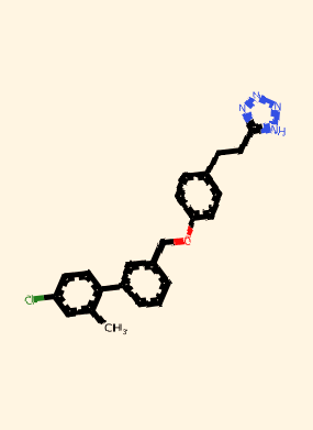 Cc1cc(Cl)ccc1-c1cccc(COc2ccc(CCc3nnn[nH]3)cc2)c1